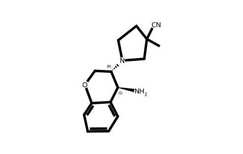 CC1(C#N)CCN([C@H]2COc3ccccc3[C@@H]2N)C1